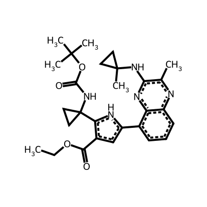 CCOC(=O)c1cc(-c2cccc3nc(C)c(NC4(C)CC4)nc23)[nH]c1C1(NC(=O)OC(C)(C)C)CC1